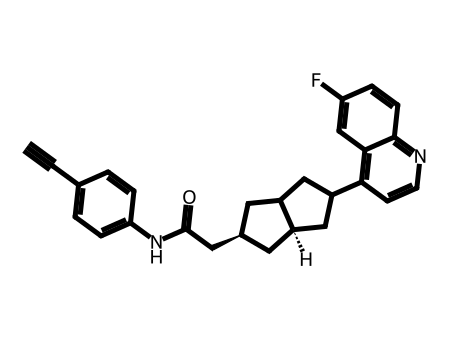 C#Cc1ccc(NC(=O)C[C@H]2CC3CC(c4ccnc5ccc(F)cc45)C[C@H]3C2)cc1